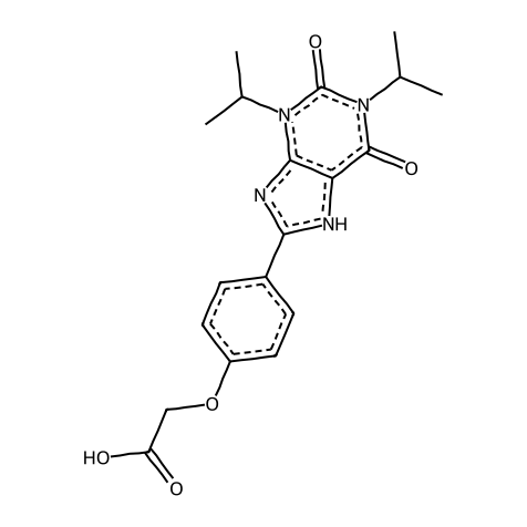 CC(C)n1c(=O)c2[nH]c(-c3ccc(OCC(=O)O)cc3)nc2n(C(C)C)c1=O